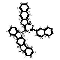 c1ccc2cc(-c3nc(-n4c5ccccc5c5cc6oc7ccccc7c6cc54)c4sc5cc6ccccc6cc5c4n3)ccc2c1